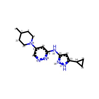 CC1CCN(c2cnnc(Nc3cc(C4CC4)[nH]n3)c2)CC1